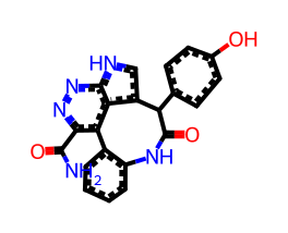 NC(=O)c1nnc2[nH]cc3c2c1-c1ccccc1NC(=O)C3c1ccc(O)cc1